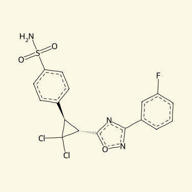 NS(=O)(=O)c1ccc([C@H]2[C@H](c3nc(-c4cccc(F)c4)no3)C2(Cl)Cl)cc1